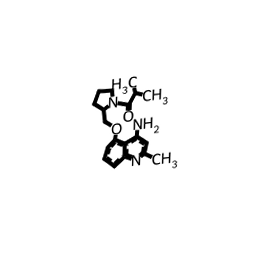 Cc1cc(N)c2c(OCC3CCCN3C(=O)C(C)C)cccc2n1